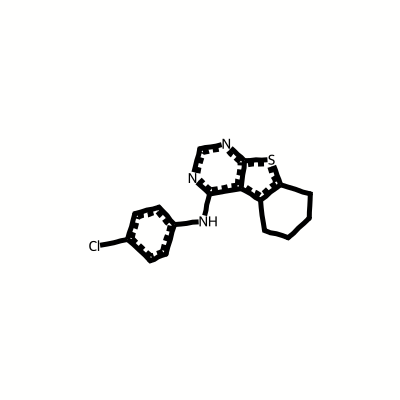 Clc1ccc(Nc2ncnc3sc4c(c23)CCCC4)cc1